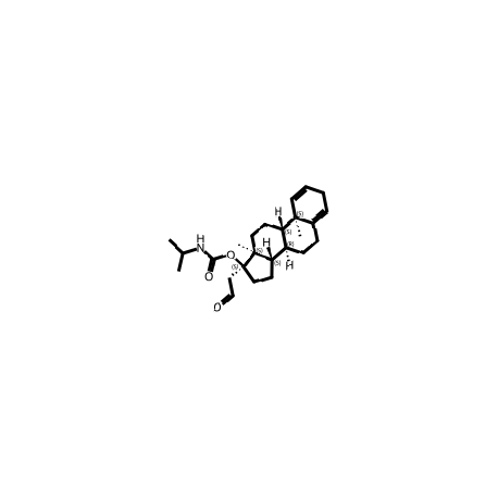 CC(C)NC(=O)O[C@]1(CC=O)CC[C@H]2[C@@H]3CCC4=CCC=C[C@]4(C)[C@H]3CC[C@@]21C